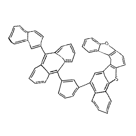 c1cc(-c2c3ccccc3c(-c3ccc4ccccc4c3)c3ccccc23)cc(-c2cc3c(sc4ccc5oc6ccccc6c5c43)c3ccccc23)c1